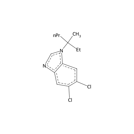 CCCC(C)(CC)n1cnc2cc(Cl)c(Cl)cc21